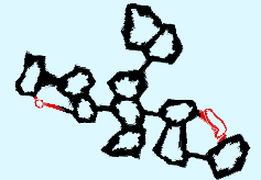 c1ccc2c(c1)Oc1ccc(-c3c4ccccc4c(-c4ccc5c6c(cccc46)-c4ccccc4O5)c4cc(-c5cccc6ccccc56)ccc34)c3cccc-2c13